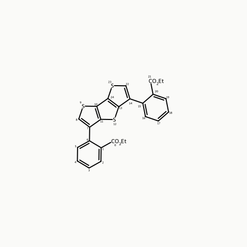 CCOC(=O)c1ccccc1-c1csc2c1sc1c(-c3ccccc3C(=O)OCC)csc12